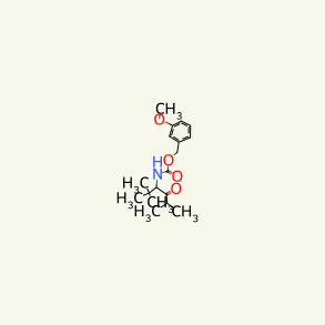 COc1cccc(COC(=O)NC(C(=O)C(C)C)C(C)(C)C)c1